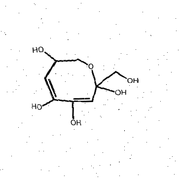 OCC1(O)C=C(O)C(O)=CC(O)CO1